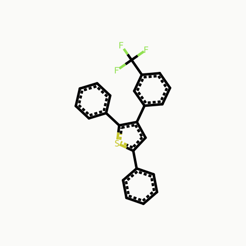 FC(F)(F)c1cccc(-c2cc(-c3ccccc3)sc2-c2ccccc2)c1